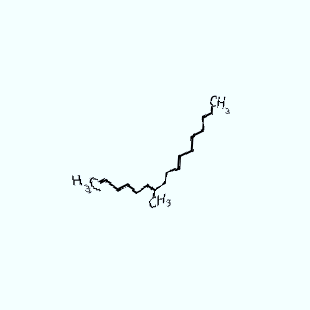 CCCCCCCCCCC(C)CCCCCC